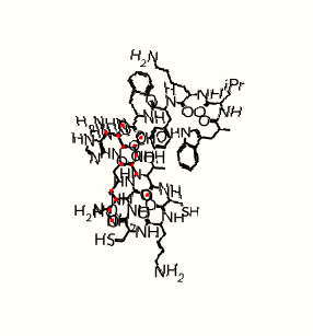 CC(C)CC(NC(=O)C(C)Cc1c[nH]c2ccccc12)C(=O)NC(CCCCN)C(=O)NC(Cc1ccccc1)C(=O)NC(Cc1ccccc1)C(=O)NC(Cc1cnc[nH]1)C(=O)NC(CCCNC(N)N)C(=O)NC(C(=O)NC(CS)C(=O)NC(CCCCN)C(=O)NC(CS)C(=O)NC(C(=O)NCC(=O)NC(C=O)CC(=O)NN)C(C)O)C(C)O